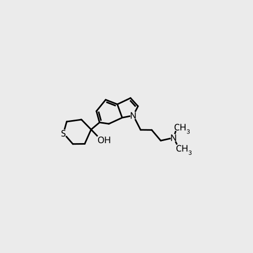 CN(C)CCCN1C=CC2=CC=C(C3(O)CCSCC3)CC21